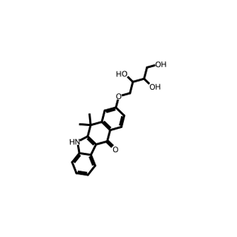 CC1(C)c2cc(OCC(O)C(O)CO)ccc2C(=O)c2c1[nH]c1ccccc21